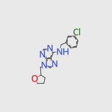 Clc1cccc(CNc2ncnc3c2ncn3CC2CCCO2)c1